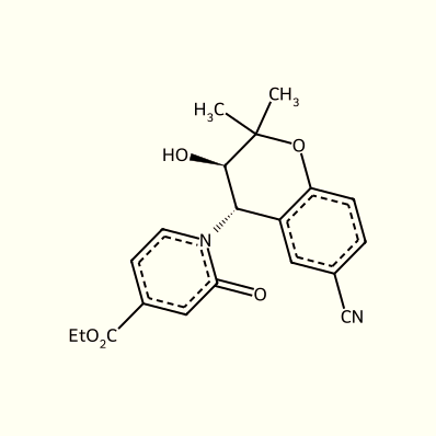 CCOC(=O)c1ccn([C@H]2c3cc(C#N)ccc3OC(C)(C)[C@@H]2O)c(=O)c1